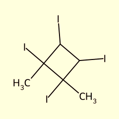 CC1(I)C(I)C(I)C1(C)I